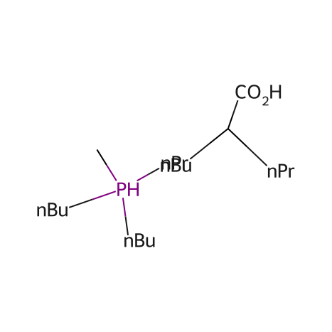 CCCC(CCC)C(=O)O.CCCC[PH](C)(CCCC)CCCC